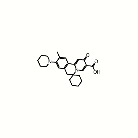 Cc1cc2c(cc1N1CCCCC1)CC1(CCCCC1)n1cc(C(=O)O)c(=O)cc1-2